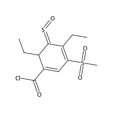 CCC1=C(S(C)(=O)=O)C=C(C(=O)Cl)C(CC)C1=S=O